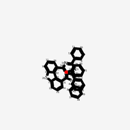 c1ccc(-c2nc(-c3ccccc3)nc(-c3cccc4sc5cccc(-c6nc7ccccc7n6-c6ccccc6)c5c34)n2)cc1